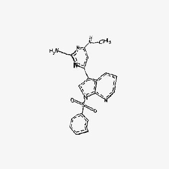 CNc1cc(-c2cn(S(=O)(=O)c3ccccc3)c3ncccc23)nc(N)n1